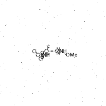 COCCCNc1ncc(C#Cc2c(F)ccc(NS(=O)(=O)c3cc(Cl)ccc3Cl)c2F)cn1